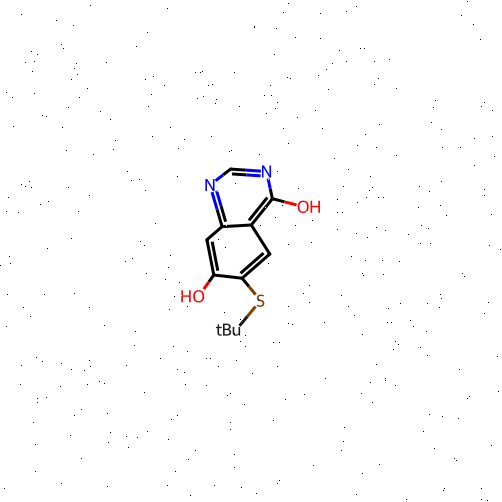 CC(C)(C)Sc1cc2c(O)ncnc2cc1O